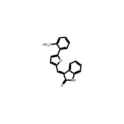 O=C1Nc2ccccc2/C1=C\c1ccc(-c2ccccc2C(=O)O)o1